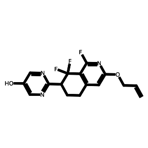 C=CCOc1cc2c(c(F)n1)C(F)(F)C(c1ncc(O)cn1)CC2